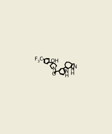 O=C(c1ccc2[nH]c3c(c2c1)CCCc1cn[nH]c1-3)N1CCC(O)(c2ccc(C(F)(F)F)cc2)CC1